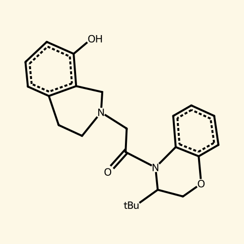 CC(C)(C)C1COc2ccccc2N1C(=O)CN1CCc2cccc(O)c2C1